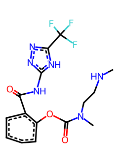 CNCCN(C)C(=O)Oc1ccccc1C(=O)Nc1nnc(C(F)(F)F)[nH]1